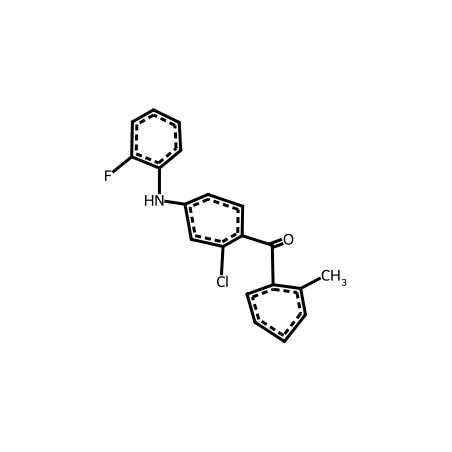 Cc1ccccc1C(=O)c1ccc(Nc2ccccc2F)cc1Cl